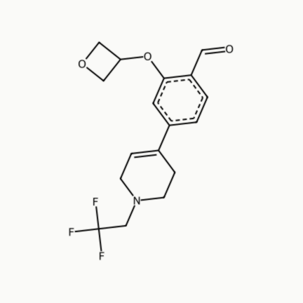 O=Cc1ccc(C2=CCN(CC(F)(F)F)CC2)cc1OC1COC1